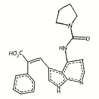 O=C(O)C(=Cc1c[nH]c2nccc(NC(=O)N3CCCC3)c12)c1ccccc1